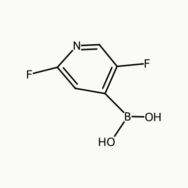 OB(O)c1cc(F)ncc1F